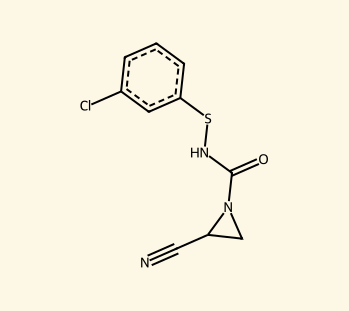 N#CC1CN1C(=O)NSc1cccc(Cl)c1